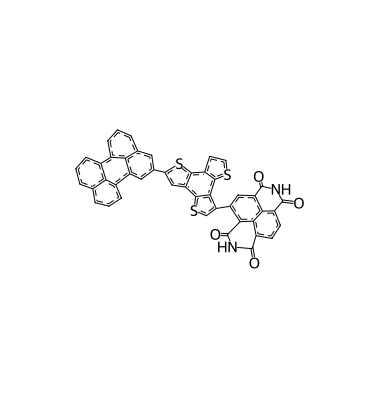 O=C1NC(=O)c2cc(-c3csc4c5cc(-c6cc7cccc8c9cccc%10cccc(c(c6)c78)c%109)sc5c5ccsc5c34)c3c4c(ccc1c24)C(=O)NC3=O